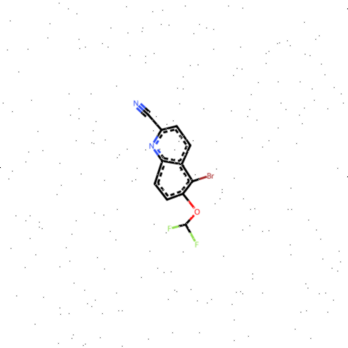 N#Cc1ccc2c(Br)c(OC(F)F)ccc2n1